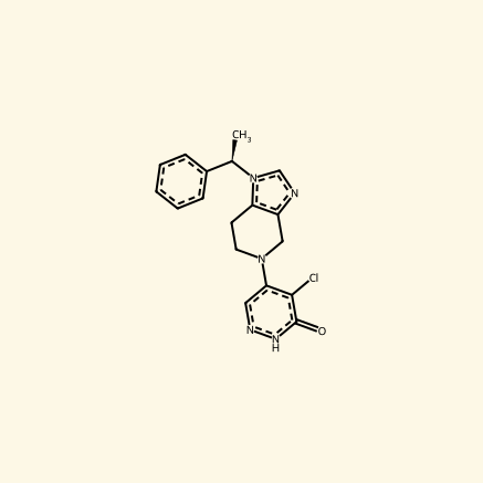 C[C@H](c1ccccc1)n1cnc2c1CCN(c1cn[nH]c(=O)c1Cl)C2